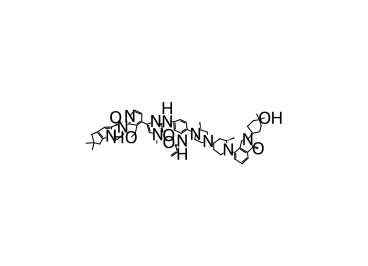 C=CC(=O)Nc1cc(Nc2nc(-c3ccnc(N4CCn5c(cc6c5CC(C)(C)C6)C4=O)c3CO)cn(C)c2=O)ccc1N1CCN(C2CCN(c3cccc4c3CN(C3CCC(C)(O)CC3)C4=O)[C@H](C)C2)C[C@@H]1C